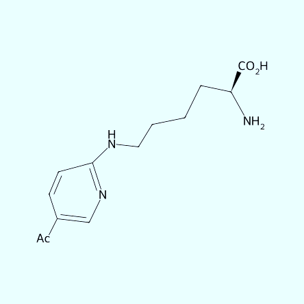 CC(=O)c1ccc(NCCCC[C@H](N)C(=O)O)nc1